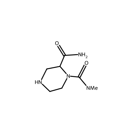 CNC(=O)N1CCNCC1C(N)=O